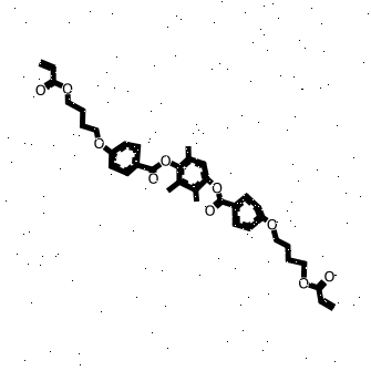 C=CC(=O)OCCCCOc1ccc(C(=O)Oc2cc(C)c(OC(=O)c3ccc(OCCCCOC(=O)C=C)cc3)c(C)c2C)cc1